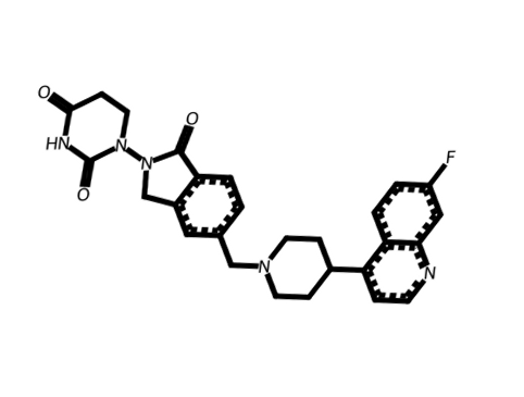 O=C1CCN(N2Cc3cc(CN4CCC(c5ccnc6cc(F)ccc56)CC4)ccc3C2=O)C(=O)N1